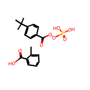 CC(C)(C)c1ccc(C(=O)OOP(=O)(O)O)cc1.Cc1ccccc1C(=O)O